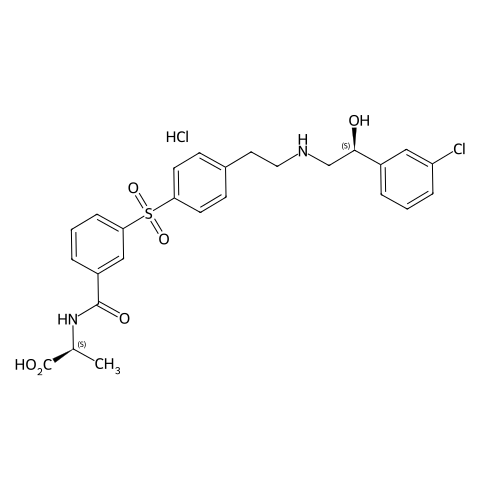 C[C@H](NC(=O)c1cccc(S(=O)(=O)c2ccc(CCNC[C@@H](O)c3cccc(Cl)c3)cc2)c1)C(=O)O.Cl